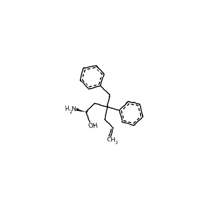 C=CCC(Cc1ccccc1)(C[C@H](N)O)c1ccccc1